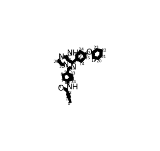 CC#CC(=O)NC12CCC(c3nc(-c4ccc(Oc5ccccc5)cc4)c4c(N)nccn34)(CC1)C2